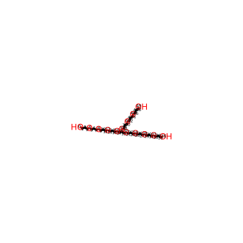 OCCCOCCCOCCCOCCCOCC(COCCCOCCCOCCCOCCCO)OCCCOCCCOCCCO